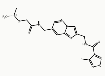 Cc1nonc1C(=O)NCc1cn2ncc(CNC(=O)CO[C@@H](C)C(F)(F)F)cc2n1